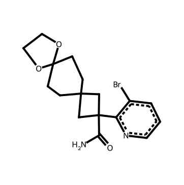 NC(=O)C1(c2ncccc2Br)CC2(CCC3(CC2)OCCO3)C1